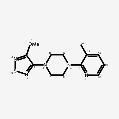 COc1nsnc1N1CCN(c2ncccc2C)CC1